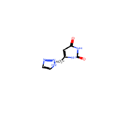 O=C(O)c1cc(=O)[nH]c(=O)[nH]1.c1c[nH]nn1